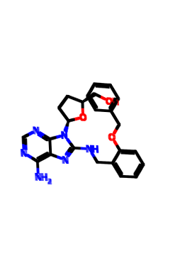 Nc1ncnc2c1nc(NCc1ccccc1OCc1ccccc1)n2[C@H]1CC[C@@H](CO)O1